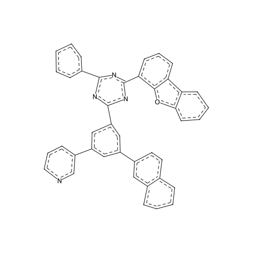 c1ccc(-c2nc(-c3cc(-c4cccnc4)cc(-c4ccc5ccccc5c4)c3)nc(-c3cccc4c3oc3ccccc34)n2)cc1